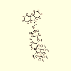 CC(C)(C)P(=O)(C(F)c1ccc(C[C@H](NC(=O)OCC2c3ccccc3-c3ccccc32)C(=O)O)cc1)C(C)(C)C